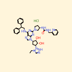 CCN1C=NNN1[C@H]1C[C@@H](n2cnc3c(NCC(c4ccccc4)c4ccccc4)nc(N4CC[C@@H](NC(=O)NCc5ccccn5)C4)nc32)[C@H](O)[C@@H]1O.Cl